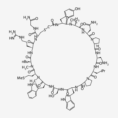 CCCC[C@H]1C(=O)N[C@@H](CCCNC(=N)N)C(=O)NC(C(=O)NCC(N)=O)CSCC(=O)N[C@@H](Cc2ccc(O)cc2)C(=O)N(C)[C@@H](C)C(=O)N[C@@H](CC(N)=O)C(=O)N2CCC[C@H]2C(=O)N[C@@H](CN)C(=O)N[C@@H](CC(C)C)C(=O)N2CCC[C@H]2C(=O)N[C@@H](Cc2c[nH]c3ccccc23)C(=O)N[C@@H](CO)C(=O)N[C@@H](Cc2c[nH]c3ccccc23)C(=O)N(C)[C@@H](CCSC)C(=O)N1C